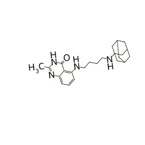 Cc1nc2cccc(NCCCCNC34CC5CC(CC(C5)C3)C4)c2c(=O)[nH]1